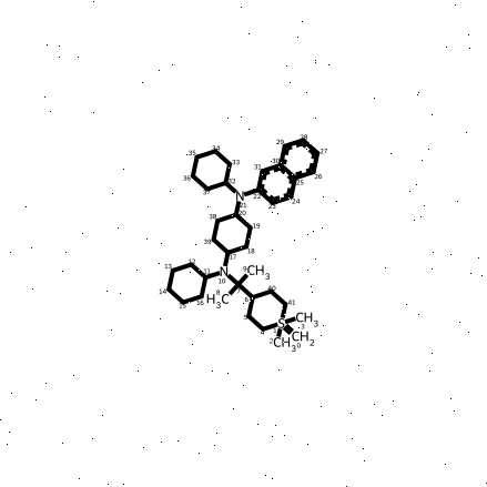 C=S1(C)(C)CCC(C(C)(C)N(C2CCCCC2)C2CCC(N(c3ccc4ccccc4c3)C3CCCCC3)CC2)CC1